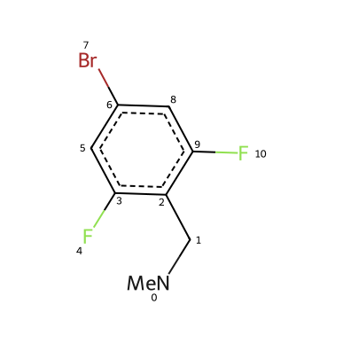 CNCc1c(F)cc(Br)cc1F